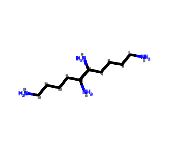 NCCCCC(N)C(N)CCCCN